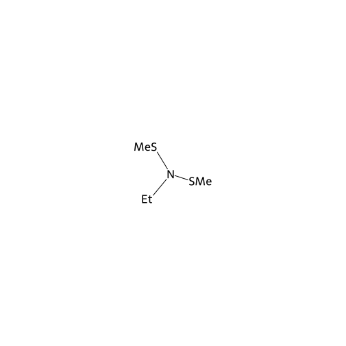 CCN(SC)SC